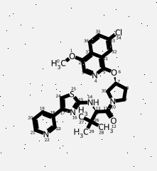 COc1cnc(O[C@@H]2CCN(C(=O)[C@@H](Nc3nc(-c4cccnc4)cs3)C(C)(C)C)C2)c2cc(Cl)ccc12